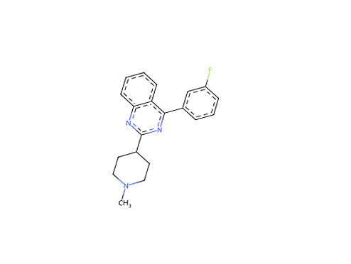 CN1CCC(c2nc(-c3cccc(F)c3)c3ccccc3n2)CC1